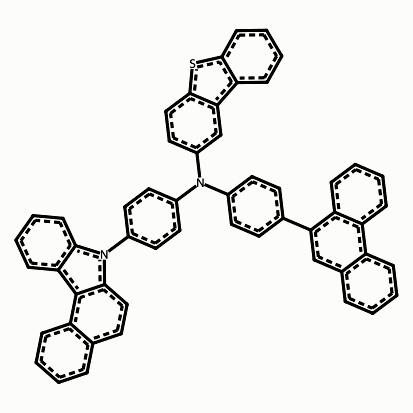 c1ccc2c(c1)cc(-c1ccc(N(c3ccc(-n4c5ccccc5c5c6ccccc6ccc54)cc3)c3ccc4sc5ccccc5c4c3)cc1)c1ccccc12